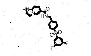 O=C(NCc1ccc(S(=O)(=O)c2cc(F)cc(F)c2)cc1)C1=CN2C=CNC2C=C1